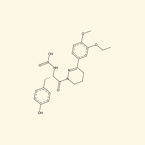 CCOc1cc(C2=NN(C(=O)[C@H](Cc3ccc(O)cc3)NC(=O)O)CCC2)ccc1OC